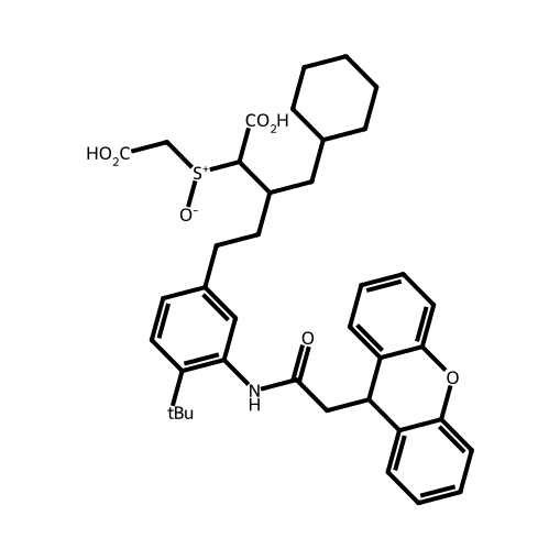 CC(C)(C)c1ccc(CCC(CC2CCCCC2)C(C(=O)O)[S+]([O-])CC(=O)O)cc1NC(=O)CC1c2ccccc2Oc2ccccc21